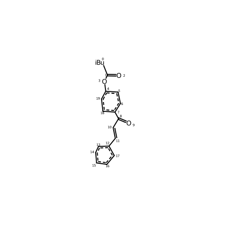 CCC(C)C(=O)Oc1ccc(C(=O)/C=C/c2ccccc2)cc1